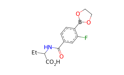 CCC(NC(=O)c1ccc(B2OCCO2)c(F)c1)C(=O)O